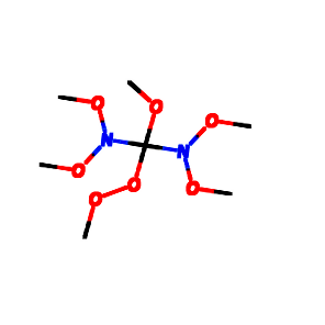 COOC(OC)(N(OC)OC)N(OC)OC